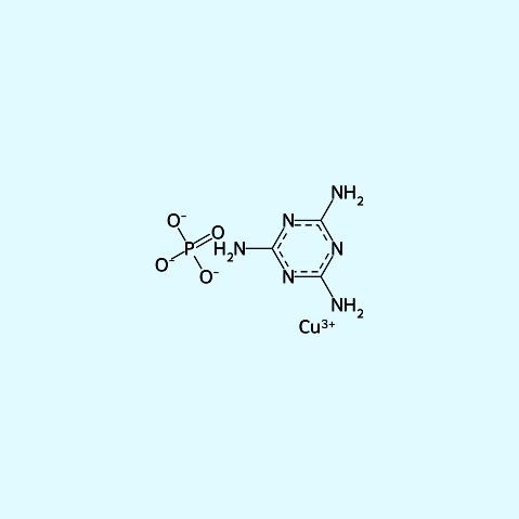 Nc1nc(N)nc(N)n1.O=P([O-])([O-])[O-].[Cu+3]